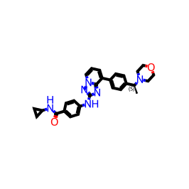 C[C@@H](c1ccc(-c2cccn3nc(Nc4ccc(C(=O)NC5CC5)cc4)nc23)cc1)N1CCOCC1